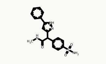 CNC(=O)C(c1ccc(S(N)(=O)=O)cc1)c1cc(-c2ccccc2)[nH]n1